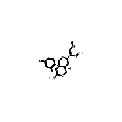 CN/C=C(\N=N)[C@H]1C[C@H]2CSC(N)=N[C@@]2(c2ccc(F)cc2F)CO1